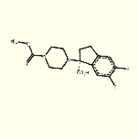 CC(C)(C)OC(=O)N1CCN([C@@]2(C(=O)O)CCc3cc(F)c(F)cc32)CC1